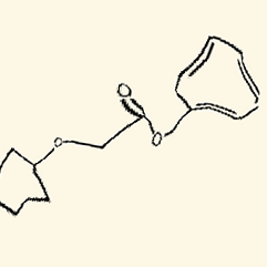 O=C(COC1CCCC1)Oc1ccccc1